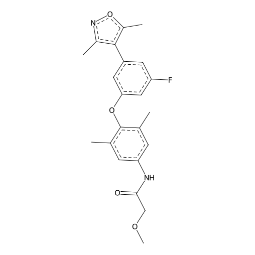 COCC(=O)Nc1cc(C)c(Oc2cc(F)cc(-c3c(C)noc3C)c2)c(C)c1